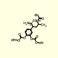 CCCOC(=O)Oc1ccc(C(CC(C)OC(=O)C(C)CC)[C@H](N)C(=O)O)cc1OC(=O)OCCC